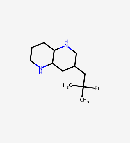 CCC(C)(C)CC1CNC2CCCNC2C1